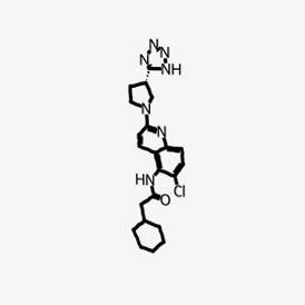 O=C(CC1CCCCC1)Nc1c(Cl)ccc2nc(N3CC[C@H](c4nnn[nH]4)C3)ccc12